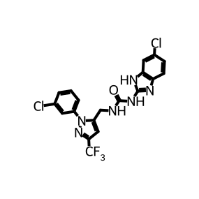 O=C(NCc1cc(C(F)(F)F)nn1-c1cccc(Cl)c1)Nc1nc2ccc(Cl)cc2[nH]1